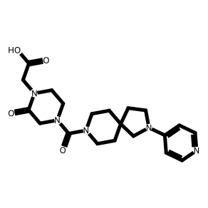 O=C(O)CN1CCN(C(=O)N2CCC3(CC2)CCN(c2ccncc2)C3)CC1=O